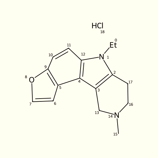 CCn1c2c(c3c4ccoc4ccc31)CN(C)CC2.Cl